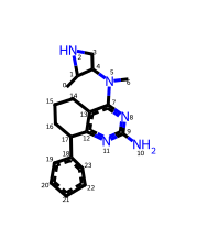 CC1NCC1N(C)c1nc(N)nc2c1CCCC2c1ccccc1